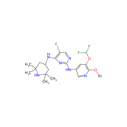 CCOc1ncc(Nc2ncc(F)c(NC3CC(C)(C)NC(C)(C)C3)n2)cc1OC(F)F